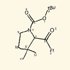 CCC(=O)C1N(C(=O)OC(C)(C)C)CCC1(C)C